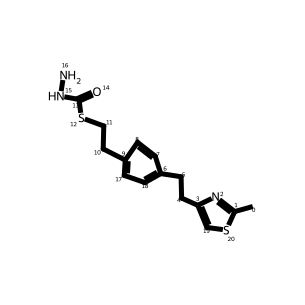 Cc1nc(CCc2ccc(CCSC(=O)NN)cc2)cs1